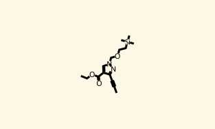 CC#Cc1nn(COCC[Si](C)(C)C)cc1C(=O)OCC